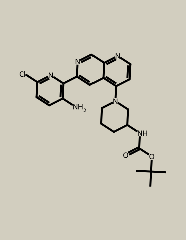 CC(C)(C)OC(=O)NC1CCCN(c2ccnc3cnc(-c4nc(Cl)ccc4N)cc23)C1